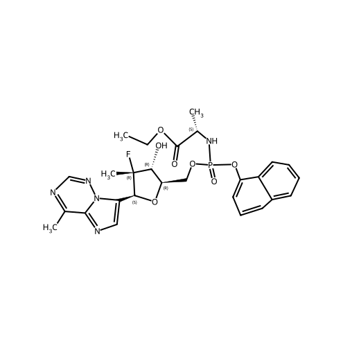 CCOC(=O)[C@H](C)NP(=O)(OC[C@H]1O[C@@H](c2cnc3c(C)ncnn23)[C@](C)(F)[C@@H]1O)Oc1cccc2ccccc12